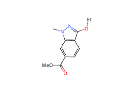 CCOc1nn(C)c2cc(C(=O)OC)ccc12